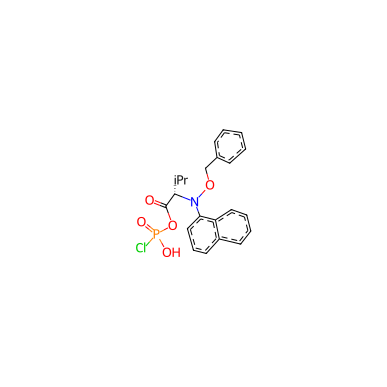 CC(C)[C@@H](C(=O)OP(=O)(O)Cl)N(OCc1ccccc1)c1cccc2ccccc12